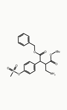 CC(C)(C)OC(=O)C(CN)C(C(=O)OCc1ccccc1)c1ccc(OS(C)(=O)=O)cc1